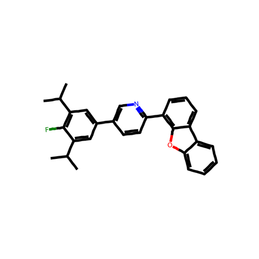 CC(C)c1cc(-c2ccc(-c3cccc4c3oc3ccccc34)nc2)cc(C(C)C)c1F